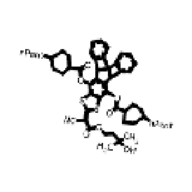 CCCCCC1CCC(C(=O)Oc2c3c(c(OC(=O)C4CCC(CCCCC)CC4)c4c2C2c5ccccc5C25c2ccccc2C45)SC(=C(C#N)C(=O)OCCC(C)(C)O)S3)CC1